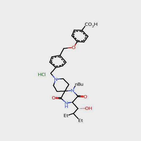 CCCCN1C(=O)[C@@H]([C@H](O)C(CC)CC)NC(=O)C12CCN(Cc1ccc(COc3ccc(C(=O)O)cc3)cc1)CC2.Cl